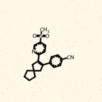 CS(=O)(=O)c1ccc(C2=C(c3ccc(C#N)cc3)CC3(CCCC3)C2)nc1